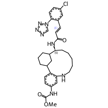 COC(=O)Nc1ccc2c(c1)NCCCCC[C@H](NC(=O)/C=C/c1cc(Cl)ccc1-n1cnnn1)C1CCCC2C1